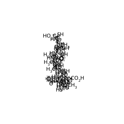 CC[C@H](C)[C@H](NC(=O)[C@H](CCC(=O)O)NC(=O)[C@H](C)NC(=O)[C@H](CS)NC(=O)[C@@H](NC(=O)CNC(=O)[C@@H]1CCCN1)[C@@H](C)O)C(=O)N[C@@H](CS)C(=O)N[C@@H](C)C(=O)N[C@@H](Cc1ccc(O)cc1)C(=O)N[C@@H](C)C(=O)N[C@@H](C)C(=O)N[C@@H](CS)C(=O)N[C@H](C(=O)NCC(=O)N[C@@H](CS)C(=O)O)[C@@H](C)O